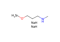 CNCCCO[SiH3].[NaH].[NaH]